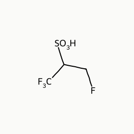 O=S(=O)(O)C(CF)C(F)(F)F